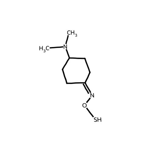 CN(C)C1CCC(=NOS)CC1